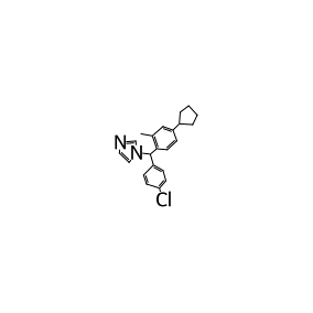 Cc1cc(C2CCCC2)ccc1C(c1ccc(Cl)cc1)n1ccnc1